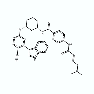 CN(C)CC=CC(=O)Nc1ccc(C(=O)N[C@H]2CCC[C@@H](Nc3ncc(C#N)c(-c4c[nH]c5ccccc45)n3)C2)cc1